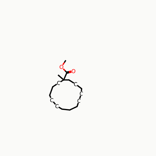 COC(=O)C1(C)CCCCCCCCCCCCC1